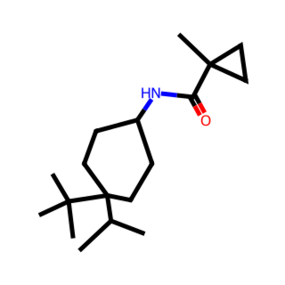 CC(C)C1(C(C)(C)C)CCC(NC(=O)C2(C)CC2)CC1